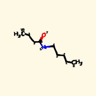 CCCCC[N]C(=O)CCC